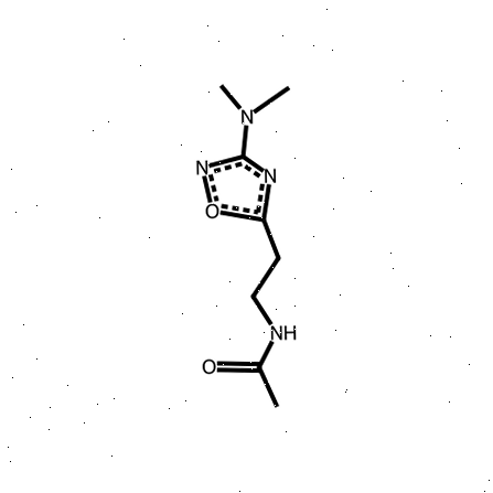 CC(=O)NCCc1nc(N(C)C)no1